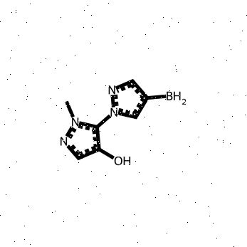 Bc1cnn(-c2c(O)cnn2C)c1